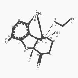 CCC(C)CN[C@@H]1C(C)C[C@]23c4c(C)ccc(O)c4O[C@H]2C(=O)CC[C@@]13O